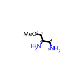 COC[C@H](N)CN